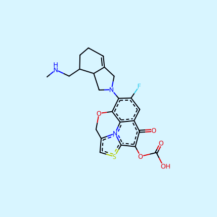 CNCC1CCC=C2CN(c3c(F)cc4c(=O)c(OC(=O)O)c5scc6n5c4c3OC6)CC21